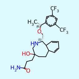 C[C@@H](OC[C@H]1NCC(O)(CCC(N)=O)CCC2C=CC=CC21)c1cc(C(F)(F)F)cc(C(F)(F)F)c1